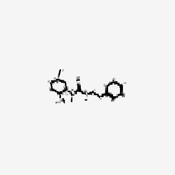 CC(C)[C@@H]1CC[C@@H](C)C[C@H]1NC(=O)NCCC1=CCCCC1